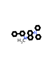 CN(c1cccc(-c2ccccc2)c1)c1cccc2c(N(c3ccccc3)c3ccccc3)cccc12